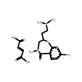 Cc1ccc2c(n1)OC(CCN(C)C)CN(C)C2=O.O=C(O)C=CC(=O)O